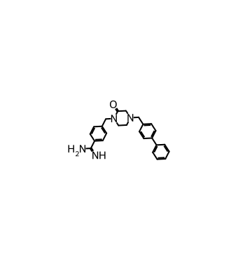 N=C(N)c1ccc(CN2CCN(Cc3ccc(-c4ccccc4)cc3)CC2=O)cc1